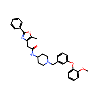 COc1ccccc1Oc1cccc(CN2CCC(NC(=O)Cc3nc(-c4ccccc4)oc3C)CC2)c1